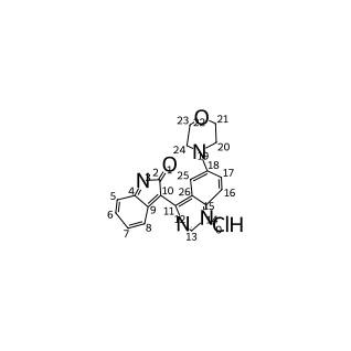 Cl.O=C1N=c2ccccc2=C1c1ncnc2ccc(N3CCOCC3)cc12